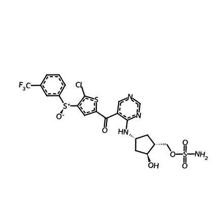 NS(=O)(=O)OC[C@H]1C[C@@H](Nc2ncncc2C(=O)c2cc([S@@+]([O-])c3cccc(C(F)(F)F)c3)c(Cl)s2)C[C@@H]1O